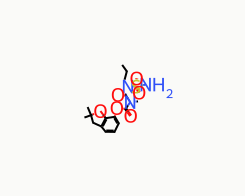 CCCN(C(=O)N(C)C(=O)Oc1cccc2c1OC(C)(C)C2)S(N)(=O)=O